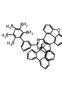 Bc1c(B)c(B)c(-c2cccc(-c3nc(-c4ccccc4)nc(-c4cccc5oc6cccc(-c7ccc8c9ccccc9c9ccccc9c8c7)c6c45)n3)c2)c(B)c1B